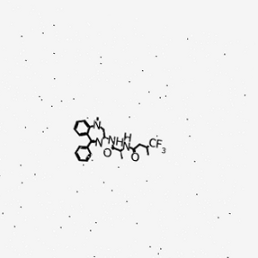 CC(CC(=O)N[C@@H](C)C(=O)N[C@@H]1CN(C)c2ccccc2C(c2ccccc2)=N1)C(F)(F)F